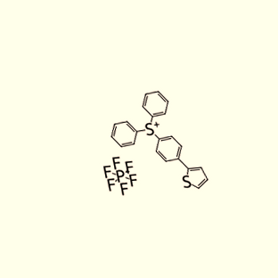 F[P-](F)(F)(F)(F)F.c1ccc([S+](c2ccccc2)c2ccc(-c3cccs3)cc2)cc1